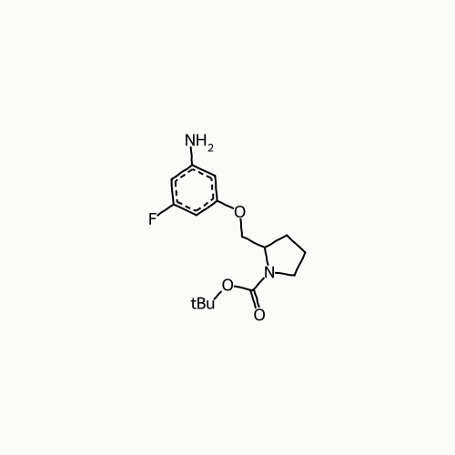 CC(C)(C)OC(=O)N1CCCC1COc1cc(N)cc(F)c1